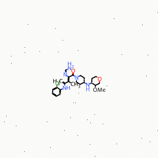 C=C(Nc1ccccc1Cl)/C(C)=C(\N=C/N)C(=O)N1CCC(NC2CCOCC2OC)CC1